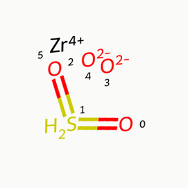 O=[SH2]=O.[O-2].[O-2].[Zr+4]